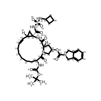 CC(C)(C)OC(=O)N[C@H]1CCCCC/C=C\[C@@H]2C[C@@]2(C(=O)NS(=O)(=O)NC2CCC2)NC(=O)[C@@H]2C[C@@H](OC(=O)N3Cc4ccccc4C3)CN2C1=O